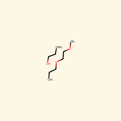 CCCCOCCOCCOC(C)=O.COCCO